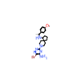 COc1ccc([C@@H](C)N[C@@H]2CCCC23CCN(c2nnc(Br)c(N)n2)CC3)cc1